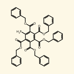 O=C(OCc1ccccc1)c1c(P)c(C(=O)OCc2ccccc2)c(C(=O)OCc2ccccc2)c(C(=O)OCc2ccccc2)c1C(=O)OCc1ccccc1